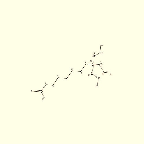 C=C(C)CCCCCCC[Si](OCC)(OCC)OCC